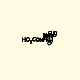 O=C(O)c1ccc(NCCn2ncc(C(=O)NC3C4CC5CC(C4)CC3C5)c2OCC2CCCCC2)cc1